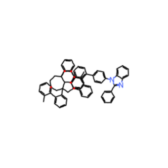 Cc1ccccc1-c1ccccc1C12CCCCC3(c4ccccc4-c4ccccc4C)CC4c5ccccc5-c5c(-c6ccc(-n7c(-c8ccccc8)nc8ccccc87)cc6)cccc5C4(CCC1)C23